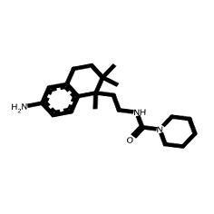 CC1(C)CCc2cc(N)ccc2C1(C)CCNC(=O)N1CCCCC1